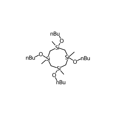 CCCCO[Si]1(C)C[Si](C)(OCCCC)C[Si](C)(OCCCC)C[Si](C)(OCCCC)C1